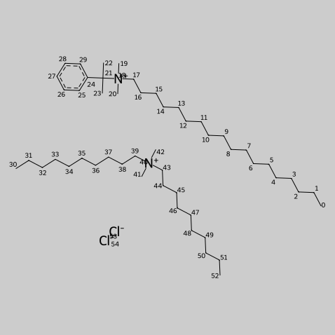 CCCCCCCCCCCCCCCCCC[N+](C)(C)C(C)(C)c1ccccc1.CCCCCCCCCC[N+](C)(C)CCCCCCCCCC.[Cl-].[Cl-]